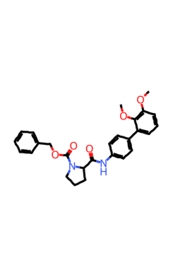 COc1cccc(-c2ccc(NC(=O)C3CCCN3C(=O)OCc3ccccc3)cc2)c1OC